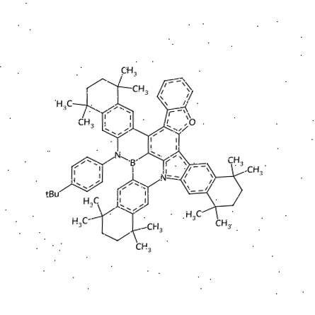 CC(C)(C)c1ccc(N2B3c4cc5c(cc4-n4c6cc7c(cc6c6c8oc9ccccc9c8c(c3c64)-c3cc4c(cc32)C(C)(C)CCC4(C)C)C(C)(C)CCC7(C)C)C(C)(C)CCC5(C)C)cc1